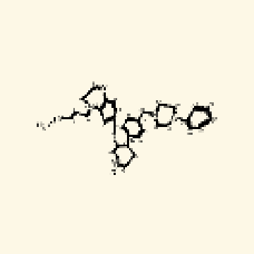 COCCCN1CCOc2ccc(COC3CNCCC3c3ccc(CN4CCN(c5ccccc5)CC4)cc3)cc21